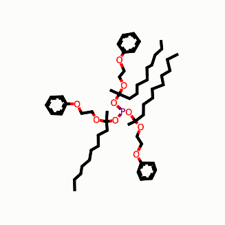 CCCCCCCCCC(C)(OCCOc1ccccc1)OP(OC(C)(CCCCCCCCC)OCCOc1ccccc1)OC(C)(CCCCCCCCC)OCCOc1ccccc1